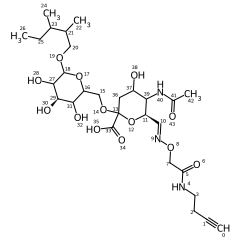 C#CCCNC(=O)CO/N=C/[C@H]1OC(OCC2OC(OCC(C)C(C)CC)C(O)[C@H](O)C2O)(C(=O)O)CC(O)C1NC(C)=O